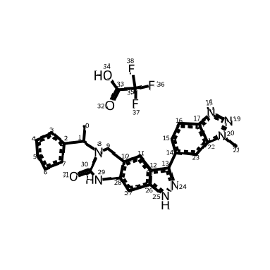 CC(c1ccccc1)N1Cc2cc3c(-c4ccc5nnn(C)c5c4)n[nH]c3cc2NC1=O.O=C(O)C(F)(F)F